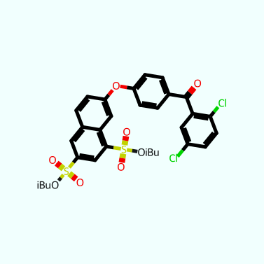 CC(C)COS(=O)(=O)c1cc(S(=O)(=O)OCC(C)C)c2cc(Oc3ccc(C(=O)c4cc(Cl)ccc4Cl)cc3)ccc2c1